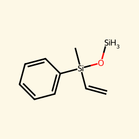 C=C[Si](C)(O[SiH3])c1ccccc1